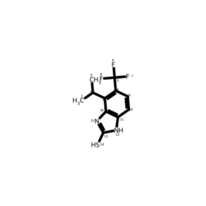 CC(C)c1c(C(F)(F)F)ccc2[nH]c(S)nc12